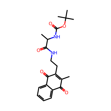 CC1=C(CCNC(=O)C(C)NC(=O)OC(C)(C)C)C(=O)c2ccccc2C1=O